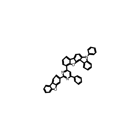 c1ccc(-c2cc(-c3cccc4c3oc3c4ccc4c3c3ccccc3n4-c3ccccc3)nc(-c3ccc4c(c3)oc3ccccc34)n2)cc1